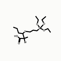 CCCC(SCCC[Si](OCC)(OCC)OCC)C(C)(Br)C(=O)O